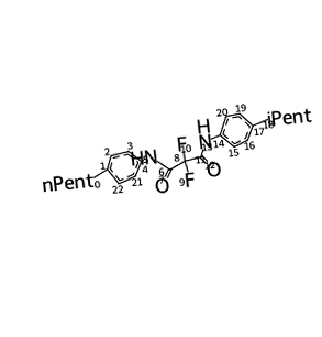 CCCCCc1ccc(NC(=O)C(F)(F)C(=O)Nc2ccc(C(C)CCC)cc2)cc1